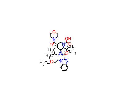 C=COCCn1c(C(=O)N(CC(C)C)[C@H]2C[C@@H](C(=O)N3CCOCC3)CN(C(=O)O)C2C(C)(C)C)nc2ccccc21